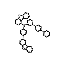 c1ccc(-c2ccc(-c3cccc(N(c4ccc(-c5ccc6sc7ccccc7c6c5)cc4)c4cccc5oc6ccccc6c45)c3)cc2)cc1